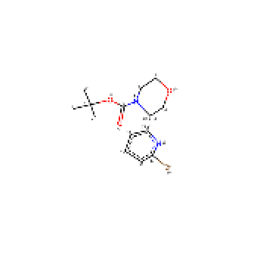 CC(C)(C)OC(=O)N1CCOC[C@@H]1c1cccc(Br)n1